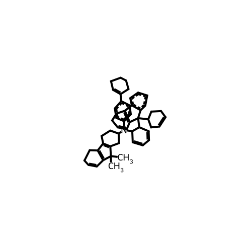 CC1(C)C2=C(CCC=C2)C2=C1CC(N(c1ccc(C3=CCCCC3)cc1)C1C=CC=CC1C1(C3CC=CCC3)C3=C(CCC=C3)c3ccccc31)CC2